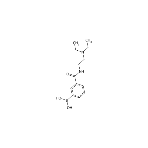 CCN(CC)CCNC(=O)c1cccc(B(O)O)c1